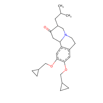 CC(C)CC1CN2CCc3cc(OCC4CC4)c(OCC4CC4)cc3C2CC1=O